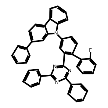 Fc1ccccc1-c1ccc(-n2c3ccccc3c3ccc(-c4ccccc4)cc32)cc1-c1nc(-c2ccccc2)nc(-c2ccccc2)n1